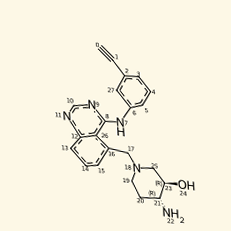 C#Cc1cccc(Nc2ncnc3cccc(CN4CC[C@@H](N)[C@H](O)C4)c23)c1